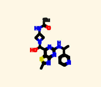 Cc1nc2nc(NC(C)c3cccnc3)nc(C(O)N3CC(NC(=O)C(C)(C)C)C3)c2s1